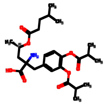 CC(C)CCC(=O)O[C@@H](C)CC(N)(Cc1ccc(OC(=O)C(C)C)c(OC(=O)C(C)C)c1)C(=O)O